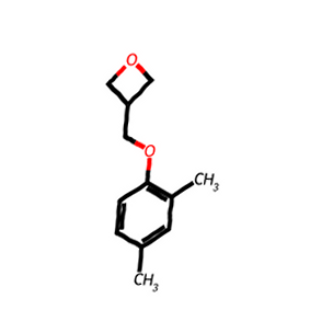 Cc1ccc(OCC2COC2)c(C)c1